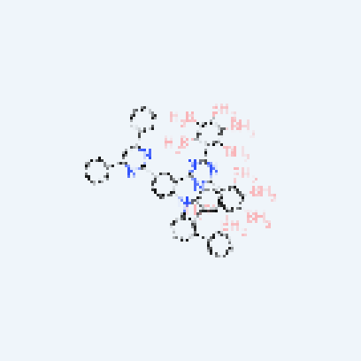 Bc1c(B)c(B)c(-c2nc(-c3cc(-c4nc(-c5ccccc5)cc(-c5ccccc5)n4)ccc3-n3c4ccccc4c4c(-c5ccccc5)cccc43)nc(-c3c(B)c(B)c(B)c(B)c3B)n2)c(B)c1B